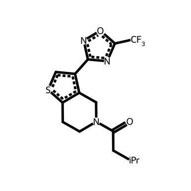 CC(C)CC(=O)N1CCc2scc(-c3noc(C(F)(F)F)n3)c2C1